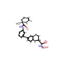 CC1(C(=O)Nc2cccc(-c3ccc4c(c3)CCC(C(=O)NO)C4)c2)CCCCC1